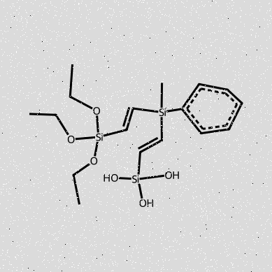 CCO[Si](C=C[Si](C)(C=C[Si](O)(O)O)c1ccccc1)(OCC)OCC